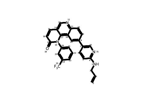 C=CCNc1ccc(-c2ccc3ncc4ccc(=O)n(-c5cccc(C(F)(F)F)c5)c4c3c2)cn1